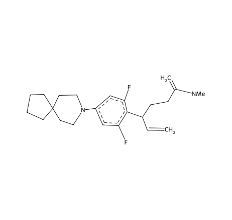 C=CC(CCC(=C)NC)c1c(F)cc(N2CCC3(CCCC3)CC2)cc1F